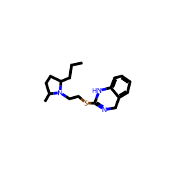 CCCC1CCC(C)N1CCSC1=NCc2ccccc2N1